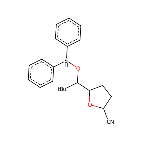 CC(C)(C)C(O[SiH](c1ccccc1)c1ccccc1)C1CCC(C#N)O1